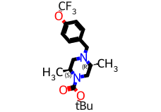 C[C@@H]1CN(C(=O)OC(C)(C)C)[C@@H](C)CN1Cc1ccc(OC(F)(F)F)cc1